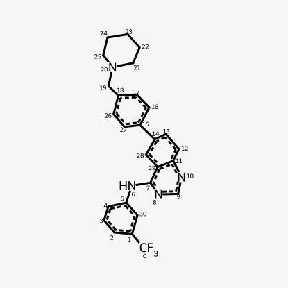 FC(F)(F)c1cccc(Nc2ncnc3ccc(-c4ccc(CN5CCCCC5)cc4)cc23)c1